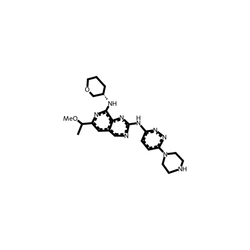 COC(C)c1cc2cnc(Nc3ccc(N4CCNCC4)nn3)nc2c(N[C@H]2CCCOC2)n1